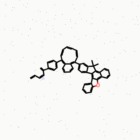 C=C/C=C\C(=C)c1ccc(-c2ccccccc(-c3ccc4c(c3)C(C)(C)c3c-4c4c5ccccc5oc4c4ccccc34)c3ccccc23)cc1